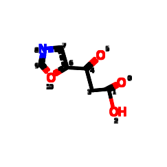 O=C(O)CC(=O)c1cnco1